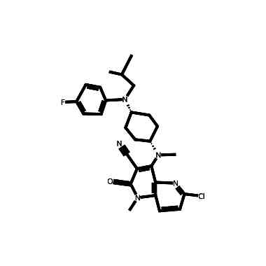 CC(C)CN(c1ccc(F)cc1)[C@H]1CC[C@@H](N(C)c2c(C#N)c(=O)n(C)c3ccc(Cl)nc23)CC1